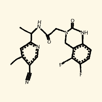 Cc1cc(C(C)NC(=O)CN2Cc3c(ccc(F)c3F)NC2=O)ncc1C#N